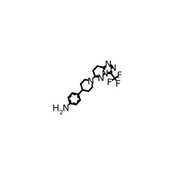 Nc1ccc(C2CCN(C3=Nn4c(nnc4C(F)(F)F)CC3)CC2)cc1